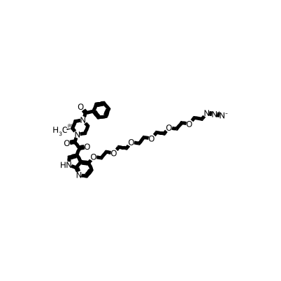 C[C@@H]1CN(C(=O)c2ccccc2)CCN1C(=O)C(=O)c1c[nH]c2nccc(OCCOCCOCCOCCOCCOCCN=[N+]=[N-])c12